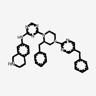 c1ccc(Cc2cnc(N3CCN(c4ncnc(Nc5ccc6c(c5)CNCC6)n4)C(Cc4ccccc4)C3)nc2)cc1